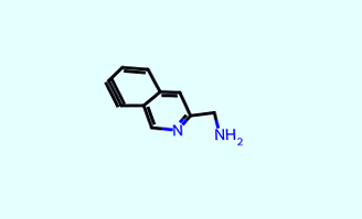 NCc1cc2ccc#cc2cn1